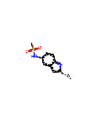 CS(=O)(=O)Nc1ccc2[nH]c(C(=O)O)cc2c1